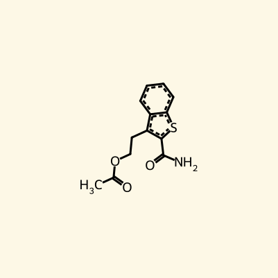 CC(=O)OCCc1c(C(N)=O)sc2ccccc12